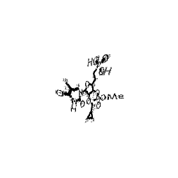 COP(C)(=O)OC1C(CCP(=O)(O)O)OC(n2cc(C)c(=O)[nH]c2=O)C1OCC1CC1